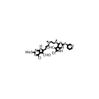 CCc1[nH]c2nc(Sc3cccnc3)nc(N(C)CCN(C)CCCc3[nH]c4nc(SC)nc(Cl)c4c3C=O)c2c1C=O